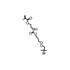 C=C(C)C(=O)OCCNC(=O)OCCCOOCC(C)(C)Br